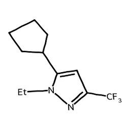 CCn1nc(C(F)(F)F)cc1C1CCCC1